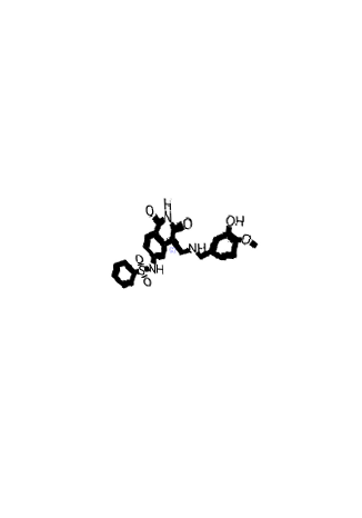 COc1ccc(CN/C=C2\C(=O)NC(=O)c3ccc(NS(=O)(=O)c4ccccc4)cc32)cc1O